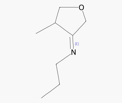 CCC/N=C1/COCC1C